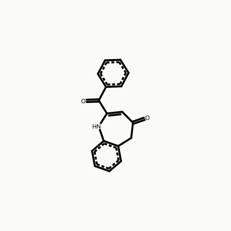 O=C1C=C(C(=O)c2ccccc2)Nc2ccccc2C1